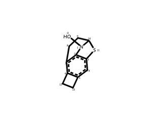 ON1c2c3[c]c4c(c2CCC1S3)CC4